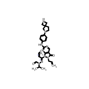 C=CCn1c(=O)c2cnc(Nc3ccc(N4CCC5(CNC5)C4)cc3)nc2n1C(/C=C\C)=N/N(C=O)C(C)C